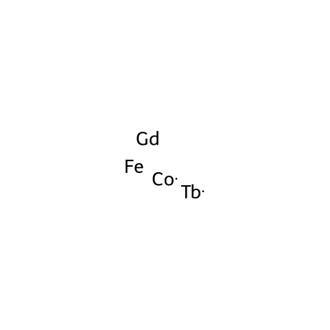 [Co].[Fe].[Gd].[Tb]